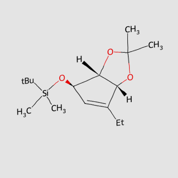 CCC1=C[C@@H](O[Si](C)(C)C(C)(C)C)[C@@H]2OC(C)(C)O[C@H]12